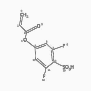 C=CC(=O)Oc1cc(F)c(S(=O)(=O)O)c(F)c1